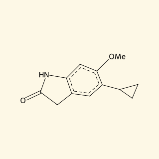 COc1cc2c(cc1C1CC1)CC(=O)N2